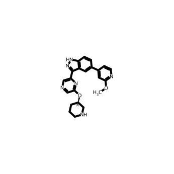 COc1cc(-c2ccc3[nH]nc(-c4cncc(O[C@@H]5CCCNC5)n4)c3c2)ccn1